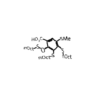 CCCCCCCCSOc1c(C(=O)O)cc(SC)c(SCCCCCCCC)c1SCCCCCCCC